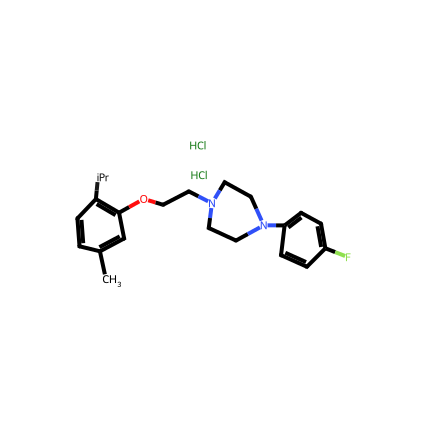 Cc1ccc(C(C)C)c(OCCN2CCN(c3ccc(F)cc3)CC2)c1.Cl.Cl